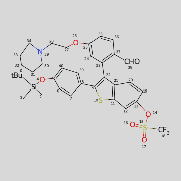 CC(C)(C)[Si](C)(C)Oc1ccc(-c2sc3cc(OS(=O)(=O)C(F)(F)F)ccc3c2-c2cc(OCCN3CCCCC3)ccc2C=O)cc1